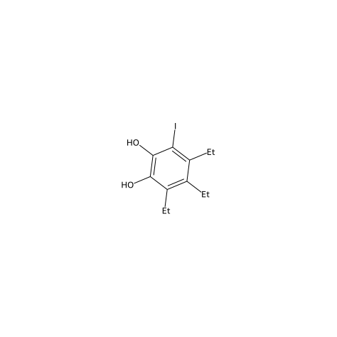 CCc1c(O)c(O)c(I)c(CC)c1CC